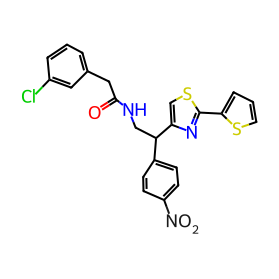 O=C(Cc1cccc(Cl)c1)NCC(c1ccc([N+](=O)[O-])cc1)c1csc(-c2cccs2)n1